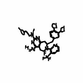 COCCN(C)c1nc(N)c2c(n1)CC(Cc1ccc(Cl)c(Cl)c1)N(c1ncccc1C(F)(F)F)CC2